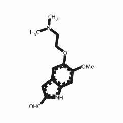 COc1cc2[nH]c(C=O)cc2cc1OCCN(C)C